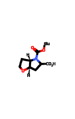 CC(C)(C)OC(=O)N1C(C(=O)O)C[C@H]2OCC[C@H]21